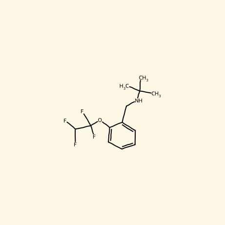 CC(C)(C)NCc1ccccc1OC(F)(F)C(F)F